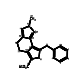 CCOC(=O)c1sc(Cc2ccccc2)c2c1CCc1cn(C)nc1-2